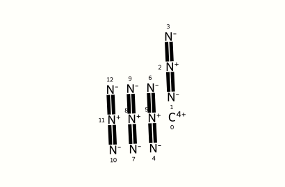 [C+4].[N-]=[N+]=[N-].[N-]=[N+]=[N-].[N-]=[N+]=[N-].[N-]=[N+]=[N-]